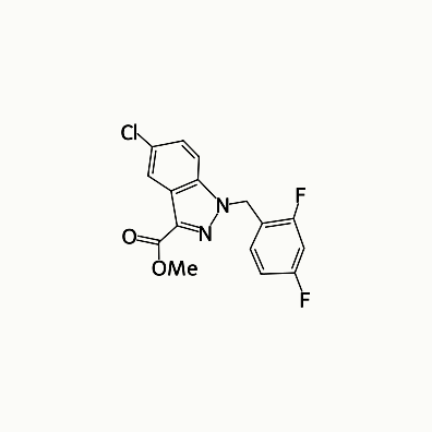 COC(=O)c1nn(Cc2ccc(F)cc2F)c2ccc(Cl)cc12